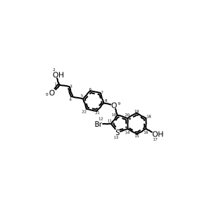 O=C(O)C=Cc1ccc(Oc2c(Br)sc3cc(O)ccc23)cc1